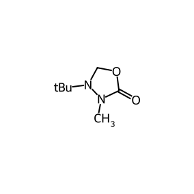 CN1C(=O)OCN1C(C)(C)C